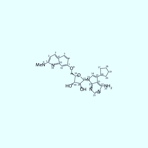 CNc1ccc2ccc(OC[C@H]3O[C@@H](n4cc(C5CCCC5)c5c(N)ncnc54)C(O)C3O)cc2n1